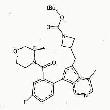 Cc1cncc2c(-c3ccc(F)cc3C(=O)N3CCOC[C@H]3C)cc(CC3CN(C(=O)OC(C)(C)C)C3)n12